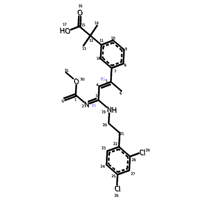 C=C(/N=C(\C=C(/C)c1cccc(C(C)(C)C(=O)O)c1)NCCc1ccc(Cl)cc1Cl)OC